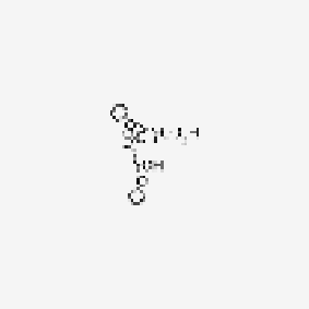 C=C(CC(COc1ccccc1)OC(=O)C(=C)CCC(O)COc1ccccc1)C(=O)O